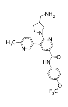 Cc1ccc(-c2cc(C(=O)Nc3ccc(OC(F)(F)F)cc3)cnc2N2CCC(CN)C2)cn1